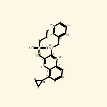 CCCS(=O)(=O)Nc1nc2c(C3CC3)cccc2nc1OCc1cccnc1